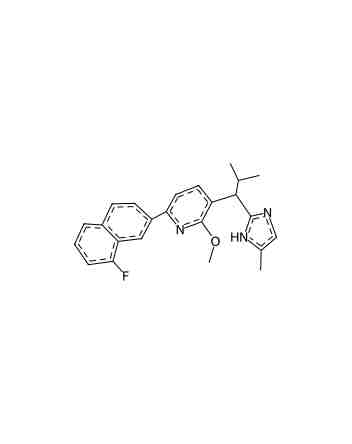 COc1nc(-c2ccc3cccc(F)c3c2)ccc1C(c1ncc(C)[nH]1)C(C)C